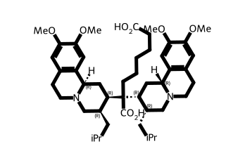 COc1cc2c(cc1OC)[C@H]1C[C@@H](C(CCCCCC(=O)O)(C(=O)O)[C@@H]3C[C@@H]4c5cc(OC)c(OC)cc5CCN4C[C@@H]3CC(C)C)[C@@H](CC(C)C)CN1CC2